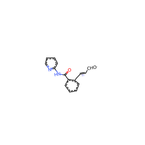 O=[C]/C=C/c1ccccc1C(=O)Nc1ccccn1